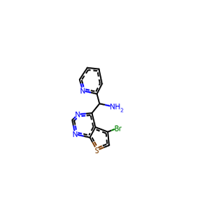 NC(c1ccccn1)c1ncnc2scc(Br)c12